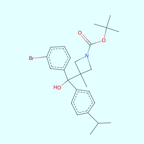 CC(C)c1ccc(C(O)(c2cccc(Br)c2)C2(C)CN(C(=O)OC(C)(C)C)C2)cc1